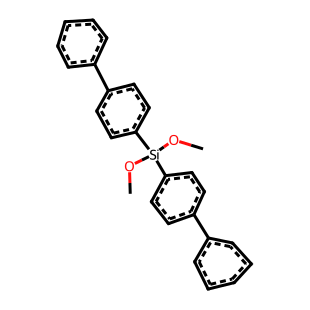 CO[Si](OC)(c1ccc(-c2ccccc2)cc1)c1ccc(-c2ccccc2)cc1